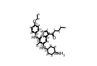 CCCCC(=O)c1cnn2c(Nc3ccc(OCC)cc3)c(C)c(NC3CCC(N)CC3)cc12